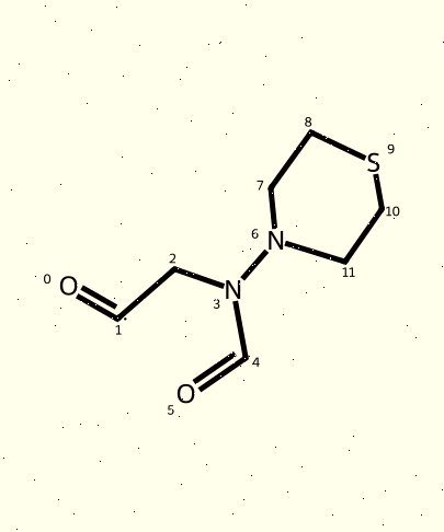 O=[C]CN(C=O)N1CCSCC1